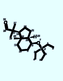 CC[Si](CC)(CC)O[C@H]1CCC[C@]2(C)[C@@H](C(C)(C)C=O)CC[C@@H]12